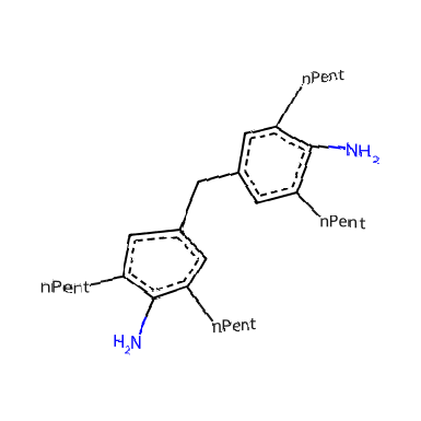 CCCCCc1cc(Cc2cc(CCCCC)c(N)c(CCCCC)c2)cc(CCCCC)c1N